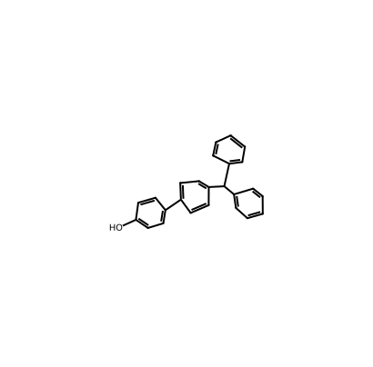 Oc1ccc(-c2ccc(C(c3ccccc3)c3ccccc3)cc2)cc1